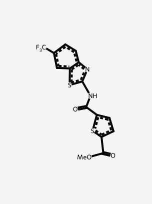 COC(=O)c1ccc(C(=O)Nc2nc3ccc(C(F)(F)F)cc3s2)s1